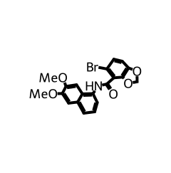 COc1cc2cccc(NC(=O)c3c(Br)ccc4c3OCO4)c2cc1OC